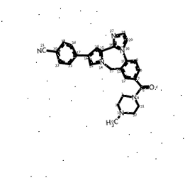 CN1CCN(C(=O)c2ccc3c(c2)Cn2cc(-c4ccc(C#N)cc4)cc2-c2nccn2-3)CC1